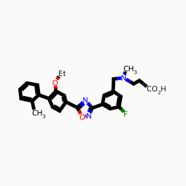 CCOc1cc(-c2nc(-c3cc(F)cc(CN(C)CCC(=O)O)c3)no2)ccc1-c1ccccc1C